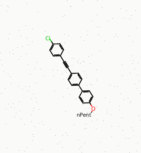 CCCCCOc1ccc(-c2ccc(C#Cc3ccc(Cl)cc3)cc2)cc1